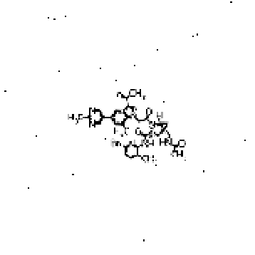 CC(=O)NC[C@@]12C[C@@H](C(=O)Nc3nc(Br)ccc3C)N(C(=O)Cn3nc(C(C)=O)c4cc(-c5cnc(C)nc5)cc(C)c43)[C@@H]1C2